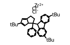 CC(C)(C)C1=CC2C(=C1)CCC2(c1ccccc1)C1c2ccc(C(C)(C)C)cc2-c2cc(C(C)(C)C)ccc21.[Cl-].[Cl-].[Zr+2]